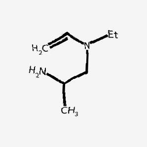 C=CN(CC)CC(C)N